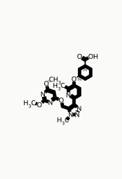 COc1cc(OCc2c(-c3ccc(O[C@H]4CCC[C@H](C(=O)O)C4)c(C)n3)nnn2C)nc(OC)n1